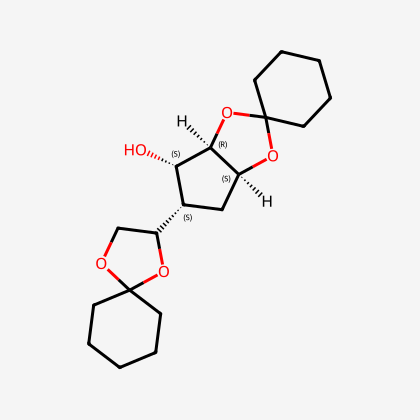 O[C@@H]1[C@H]2OC3(CCCCC3)O[C@H]2C[C@@H]1C1COC2(CCCCC2)O1